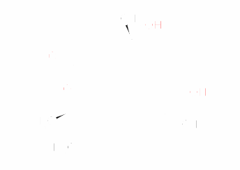 C/C1=C/CC[C@H](C)[C@@H](C)OC(=O)/C=C\[C@](C)(O)/C=C\[C@@H]1O